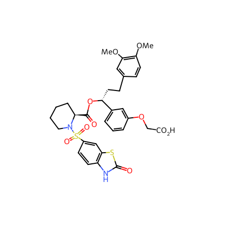 COc1ccc(CC[C@@H](OC(=O)[C@@H]2CCCCN2S(=O)(=O)c2ccc3[nH]c(=O)sc3c2)c2cccc(OCC(=O)O)c2)cc1OC